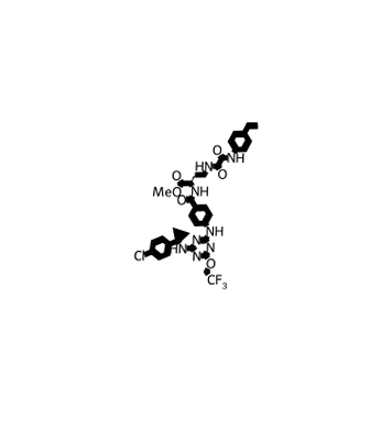 C=Cc1ccc(NC(=O)C(=O)NCC[C@H](NC(=O)c2ccc(Nc3nc(NC4(c5ccc(Cl)cc5)CC4)nc(OCC(F)(F)F)n3)cc2)C(=O)OC)cc1